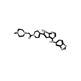 CN1CCN(CC(=O)N2CC=C(c3cc4c(Nc5ccc6ncsc6c5)ccnc4[nH]3)CC2)CC1